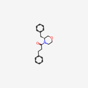 O=C(CCc1ccccc1)N1CCOC[C@@H]1Cc1ccccc1